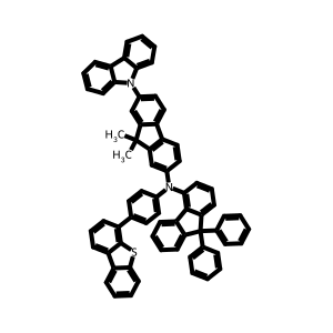 CC1(C)c2cc(N(c3ccc(-c4cccc5c4sc4ccccc45)cc3)c3cccc4c3-c3ccccc3C4(c3ccccc3)c3ccccc3)ccc2-c2ccc(-n3c4ccccc4c4ccccc43)cc21